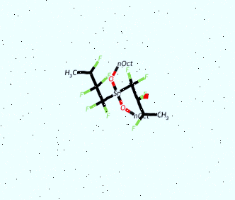 CCCCCCCC[O][Sn]([O]CCCCCCCC)([C](F)(F)C(F)(F)C(C)F)[C](F)(F)C(F)(F)C(C)F